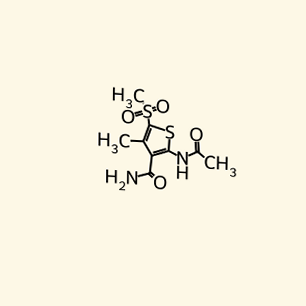 CC(=O)Nc1sc(S(C)(=O)=O)c(C)c1C(N)=O